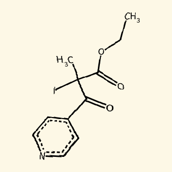 CCOC(=O)C(C)(I)C(=O)c1ccncc1